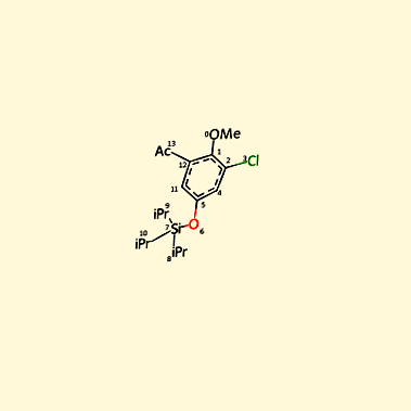 COc1c(Cl)cc(O[Si](C(C)C)(C(C)C)C(C)C)cc1C(C)=O